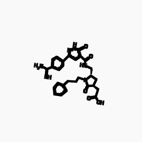 N=C(N)c1ccc(-c2cc(C(=O)NC[C@@H]3C[C@@H](CC(=O)O)C(=O)N3CCCc3ccccc3)c(=O)[nH]n2)cc1